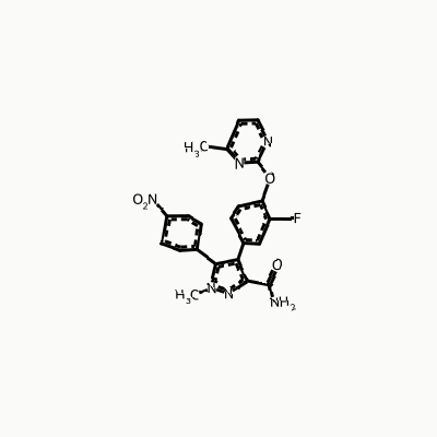 Cc1ccnc(Oc2ccc(-c3c(C(N)=O)nn(C)c3-c3ccc([N+](=O)[O-])cc3)cc2F)n1